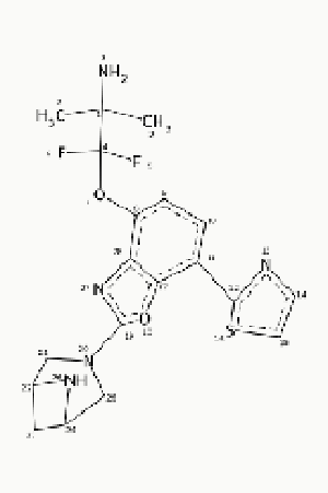 CC(C)(N)C(F)(F)Oc1ccc(-c2nccs2)c2oc(N3CC4CC(C3)N4)nc12